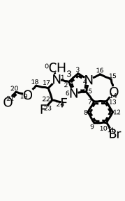 CN(c1cn2c(n1)-c1ccc(Br)cc1OCC2)C(COC=O)C(F)F